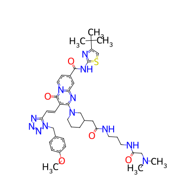 COc1ccc(Cn2nnnc2C=Cc2c(N3CCCC(CC(=O)NCCCNC(=O)CN(C)C)C3)nc3cc(C(=O)Nc4nc(C(C)(C)C)cs4)ccn3c2=O)cc1